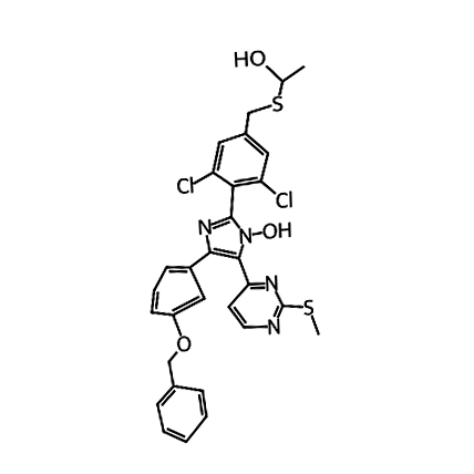 CSc1nccc(-c2c(-c3cccc(OCc4ccccc4)c3)nc(-c3c(Cl)cc(CSC(C)O)cc3Cl)n2O)n1